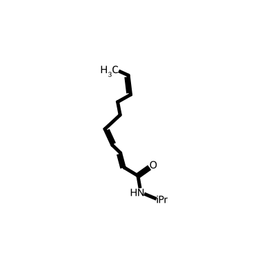 C/C=C\CC/C=C\C=C\C(=O)NC(C)C